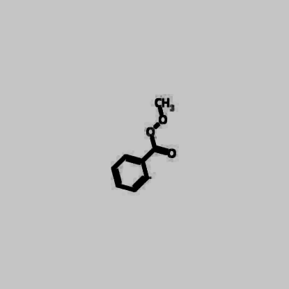 COOC(=O)c1[c]cccc1